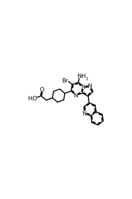 Nc1c(Br)c(C2CCC(CC(=O)O)CC2)nc2c(-c3cnc4ccccc4c3)cnn12